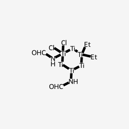 C[CH2][Ti]1([CH2]C)[Ti][Ti]([NH]C=O)[Ti][Ti]([Cl])([Cl])([NH]C=O)[Ti]1